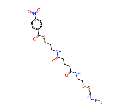 O=C(CCCC(=O)NCCSSC(=O)c1ccc([N+](=O)[O-])cc1)NCCSS/B=N/P